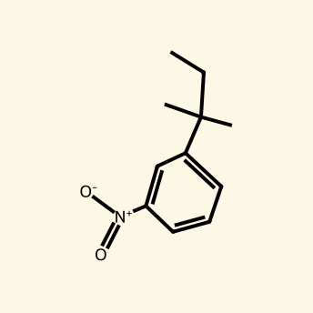 CCC(C)(C)c1cccc([N+](=O)[O-])c1